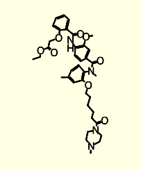 CCOC(=O)COc1ccccc1C(=O)Nc1ccc(C(=O)N(C)c2ccc(C)cc2OCCCCCC(=O)N2CCN(C)CC2)cc1OC